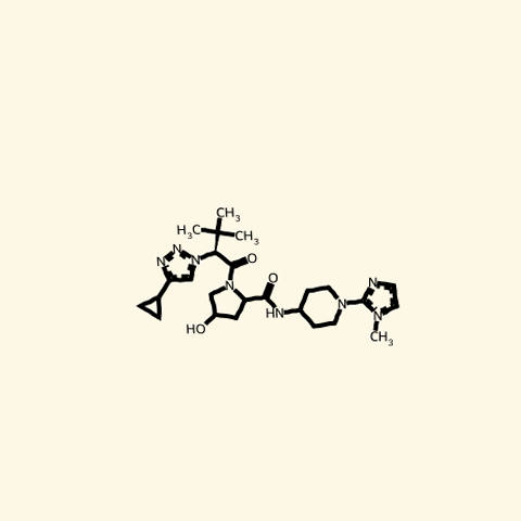 Cn1ccnc1N1CCC(NC(=O)C2CC(O)CN2C(=O)[C@@H](n2cc(C3CC3)nn2)C(C)(C)C)CC1